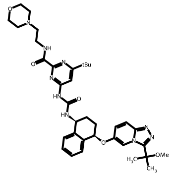 COC(C)(C)c1nnc2ccc(O[C@@H]3CC[C@H](NC(=O)Nc4cc(C(C)(C)C)nc(C(=O)NCCN5CCOCC5)n4)c4ccccc43)cn12